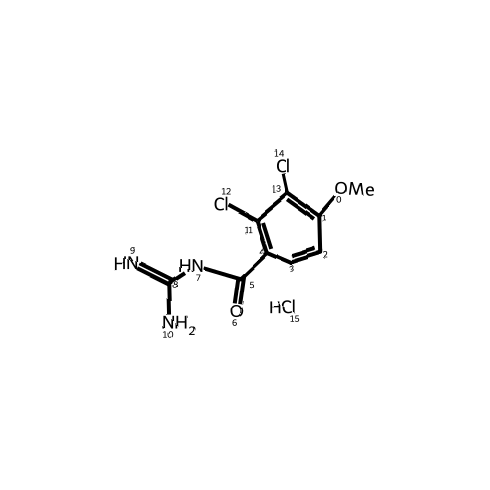 COc1ccc(C(=O)NC(=N)N)c(Cl)c1Cl.Cl